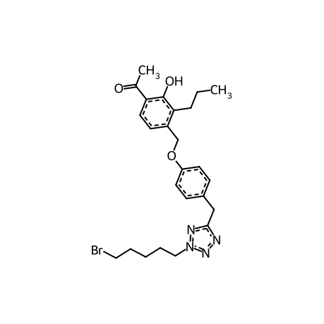 CCCc1c(COc2ccc(Cc3nnn(CCCCCBr)n3)cc2)ccc(C(C)=O)c1O